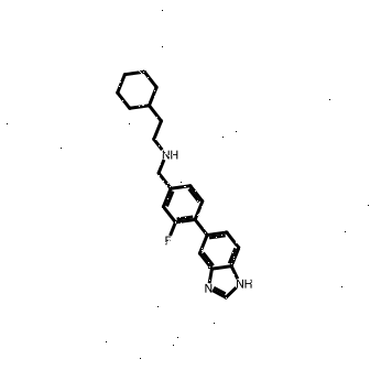 Fc1cc(CNCCC2CCCCC2)ccc1-c1ccc2[nH]cnc2c1